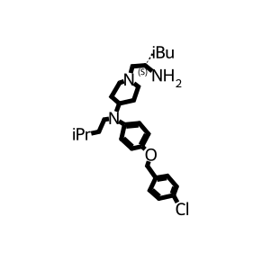 CCC(C)[C@H](N)CN1CCC(N(CCC(C)C)c2ccc(OCc3ccc(Cl)cc3)cc2)CC1